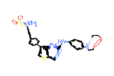 O=[SH](=O)NCc1ccc(-c2csc3cnc(Nc4ccc(N5CCOCC5)cc4)nc23)cc1